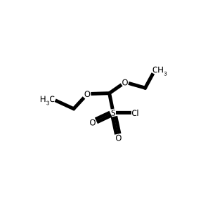 CCOC(OCC)S(=O)(=O)Cl